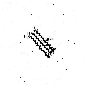 CCCCCCCCCCCCCCCCCC(=O)[O-].CCCCCCCCCCCCCCCCCC(=O)[O-].CCCCCCCCCCCCCCCCCC(=O)[O-].[Pr+3]